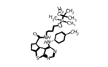 CC(C)(C)[Si](C)(C)OCCCNC(=O)C1CCc2sc3ncnc(N[C@H]4CC[C@H](C)CC4)c3c21